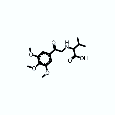 COc1cc(C(=O)CNC(C(=O)O)C(C)C)cc(OC)c1OC